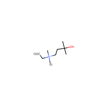 CC[N+](C)(CCC(C)(C)O)CC(=O)[O-]